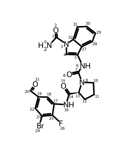 NC(=O)n1cc(NC(=O)N2CCC[C@H]2C(=O)Nc2cc(C=O)cc(Br)c2F)c2ccccc21